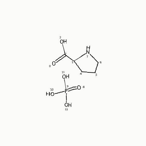 O=C(O)C1CCCN1.O=P(O)(O)O